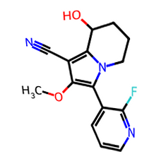 COc1c(C#N)c2n(c1-c1cccnc1F)CCCC2O